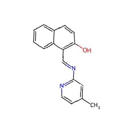 Cc1ccnc(/N=C/c2c(O)ccc3ccccc23)c1